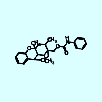 CC1CC2(C)Oc3ccccc3C3OCC1(COC(=O)Nc1ccccc1)C(C)C32